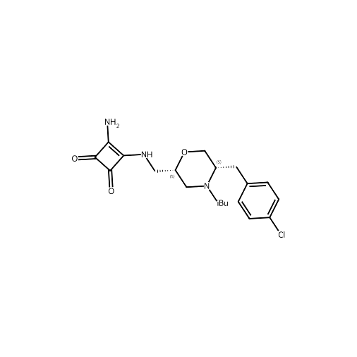 CCC(C)N1C[C@H](CNc2c(N)c(=O)c2=O)OC[C@@H]1Cc1ccc(Cl)cc1